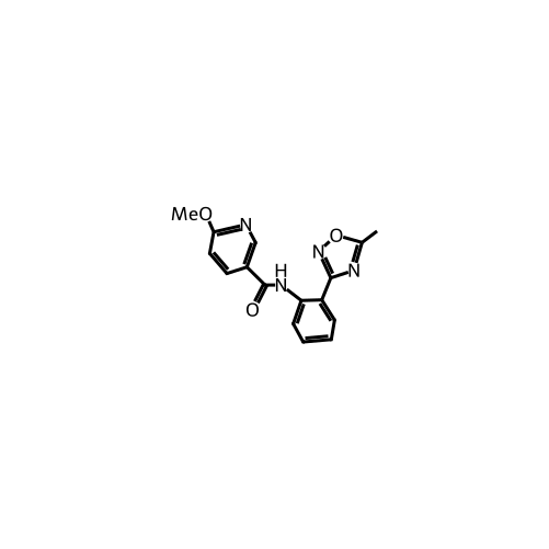 COc1ccc(C(=O)Nc2ccccc2-c2noc(C)n2)cn1